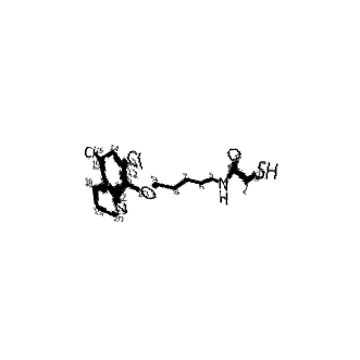 O=C(CS)NCCCCCOc1c(Cl)cc(Cl)c2cccnc12